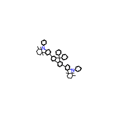 CC1CCCC2(C)c3cc(-c4ccc5c(c4)C(c4ccccc4)(c4ccccc4)c4cc(-c6ccc7c(c6)C6(C)CCCC(C)C6(C)N7c6ccccc6)ccc4-5)ccc3N(c3ccccc3)C12C